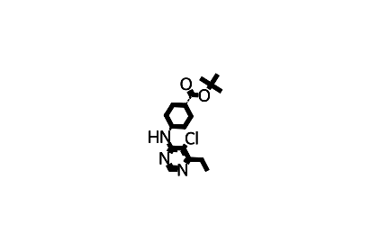 CCc1ncnc(N[C@H]2CC[C@@H](C(=O)OC(C)(C)C)CC2)c1Cl